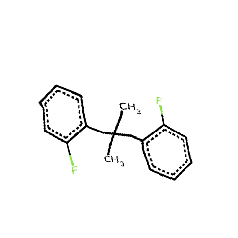 CC(C)(c1ccccc1F)c1ccccc1F